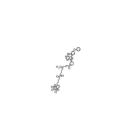 CN(C/C=C/C(=O)N1CCC[C@@H](n2nc(-c3ccc(Oc4ccccc4)cc3)c3c(N)ncnc32)C1)CCCCNC(=O)CCCCC1SC[C@@H]2NC(=O)N[C@H]12